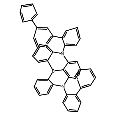 c1ccc(-c2ccnc(-c3ccccc3N3c4ccccc4B4c5ccccc5N(c5ccccc5-c5ccccn5)c5cccc3c54)c2)cc1